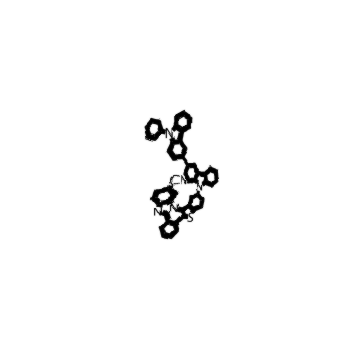 N#Cc1ccc2nc3c4ccccc4c4sc5ccc(-n6c7ccccc7c7cc(-c8ccc9c(c8)c8ccccc8n9-c8ccccc8)ccc76)cc5c4n3c2c1